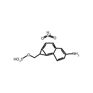 Nc1ccc2c3c(ccc2c1)C3COS(=O)(=O)O.O=[SH2]=O